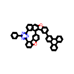 C1=CC2Oc3cccc(-c4nc(-c5ccccc5)nc(-c5ccccc5)n4)c3C2C=C1c1cccc2oc3ccc(-c4ccc5c6ccccc6c6ccccc6c5c4)cc3c12